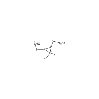 CC(=O)OCC1C(CC=O)C1(C)C